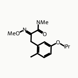 CNC(=O)/C(Cc1cc(OC(C)C)ccc1C)=N/OC